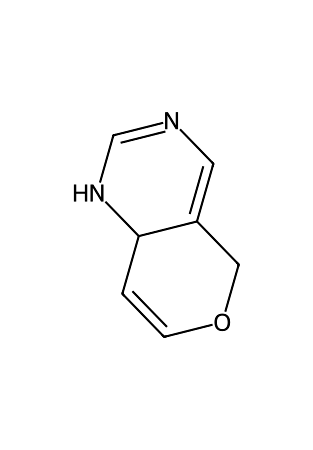 C1=CC2NC=NC=C2CO1